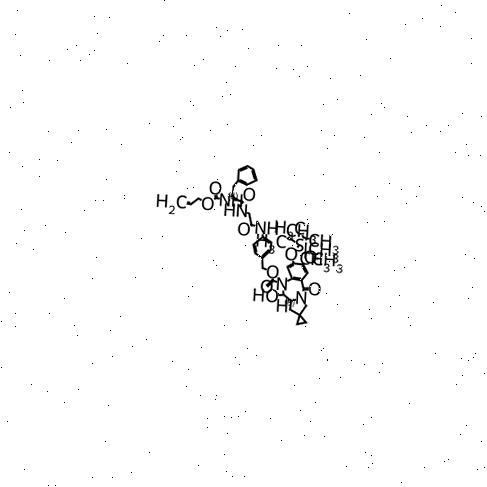 C=CCOC(=O)N[C@@H](Cc1ccccc1)C(=O)NCC(=O)Nc1ccc(COC(=O)N2c3cc(O[Si](C(C)C)(C(C)C)C(C)C)c(OC)cc3C(=O)N3CC4(CC4)C[C@H]3C2O)cc1